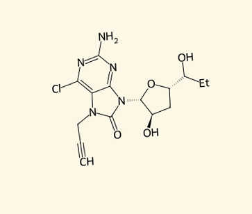 C#CCn1c(=O)n([C@@H]2O[C@H](C(O)CC)C[C@H]2O)c2nc(N)nc(Cl)c21